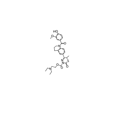 CCN(CC)CCOC(=O)N1N=C(c2ccc3c(c2)CCCN3C(=O)c2ccc(O)c(OC)c2)C(C)SC1=O